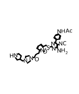 [C-]#[N+]c1c(N)nc(SCc2cccc(CCC(=O)N3CCN(CC4CCNCC4)CC3)[n+]2[O-])nc1-c1ccc(NC(C)=O)cc1